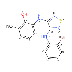 N#Cc1cccc(Nc2nsnc2Nc2ccccc2Br)c1O